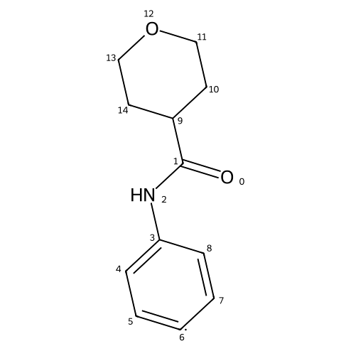 O=C(Nc1cc[c]cc1)C1CCOCC1